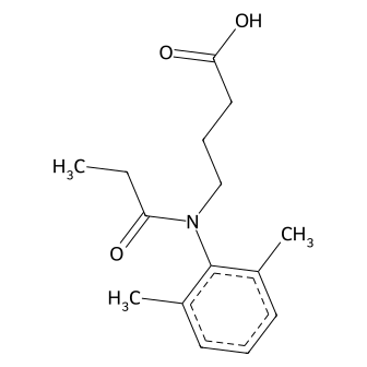 CCC(=O)N(CCCC(=O)O)c1c(C)cccc1C